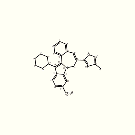 Cc1noc(C2=Cc3ccccc3-c3c(C4CCCCC4)c4ccc(C(=O)O)cc4n3C2)n1